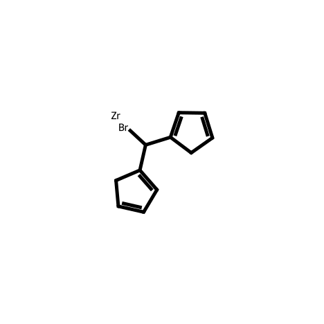 BrC(C1=CC=CC1)C1=CC=CC1.[Zr]